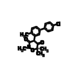 Cc1ccc(-c2ccc(Cl)cc2)cc1C1C(=O)N(C)OC(C)(C)C1=O